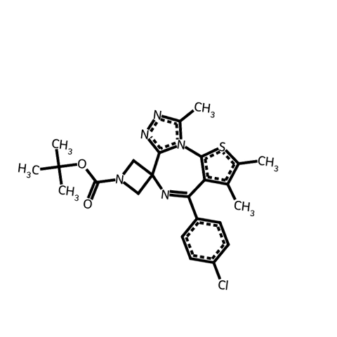 Cc1sc2c(c1C)C(c1ccc(Cl)cc1)=NC1(CN(C(=O)OC(C)(C)C)C1)c1nnc(C)n1-2